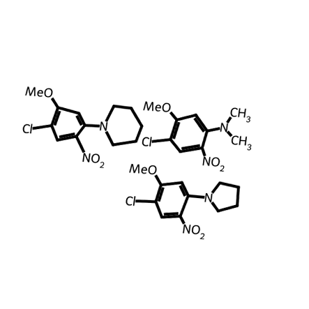 COc1cc(N(C)C)c([N+](=O)[O-])cc1Cl.COc1cc(N2CCCC2)c([N+](=O)[O-])cc1Cl.COc1cc(N2CCCCC2)c([N+](=O)[O-])cc1Cl